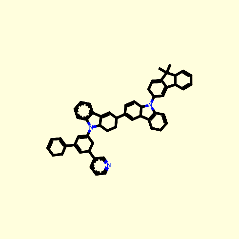 CC1(C)C2=CCC(N3C4=C(CCC=C4)C4C=C(C5C=C6c7ccccc7N(C7=CC(C8=CC=CCC8)=CC(c8cccnc8)C7)C6CC5)C=CC43)C=C2C2C=CC=CC21